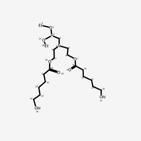 CCOP(CN(CCOC(=O)CCCCCO)CCOC(=O)CCCCCO)OCC